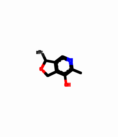 CCCC1OCc2c1cnc(C)c2O